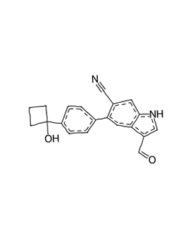 N#Cc1cc2[nH]cc(C=O)c2cc1-c1ccc(C2(O)CCC2)cc1